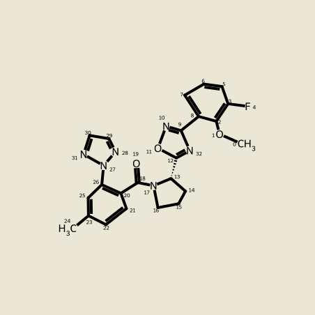 COc1c(F)cccc1-c1noc([C@@H]2CCCN2C(=O)c2ccc(C)cc2-n2nccn2)n1